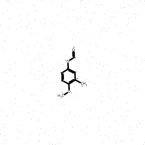 COc1ccc(OC=O)cc1C